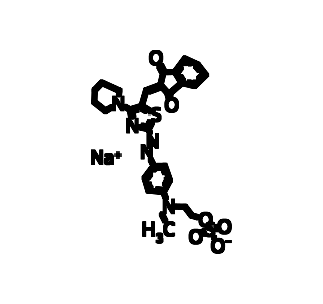 CCN(CCOS(=O)(=O)[O-])c1ccc(N=Nc2nc(N3CCCCC3)c(C=C3C(=O)c4ccccc4C3=O)s2)cc1.[Na+]